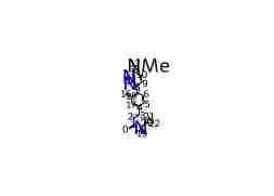 C=C(/C=C/c1ccc(-c2ccc(NC)nn2)c(C)c1)N(C)C1CC1